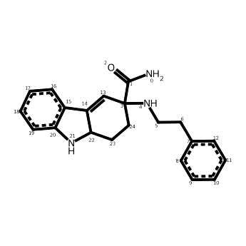 NC(=O)C1(NCCc2ccccc2)C=C2c3ccccc3NC2CC1